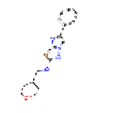 c1ccc(-c2cn3nc(NCC4CCOCC4)sc3n2)cc1